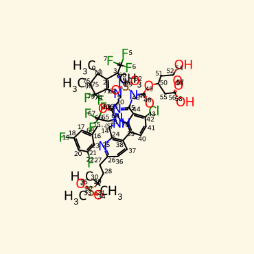 C[C@@H]1c2c(C(F)(F)F)nn(CC(=O)N[C@@H](Cc3cc(F)cc(F)c3)c3nc(CCC(C)(C)S(C)(=O)=O)ccc3-c3ccc(Cl)c4c(N(C(=O)OC(CC(=O)O)CC(=O)O)S(C)(=O)=O)nn(CC(F)(F)F)c34)c2C(F)(F)[C@@H]1C